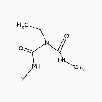 CCN(C(=O)NC)C(=O)NI